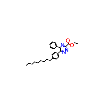 CCCCCCCCCc1ccc(-c2nnc(C(=O)OCC)nc2-c2ccccc2)cc1